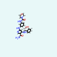 NC(=O)c1cnc(Nc2cccc(NC(=O)N3CCOCC3)c2)cc1N[C@H](CO)c1ccccc1